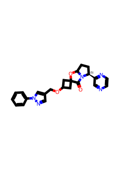 O=C1N2C(CC[C@H]2c2cnccn2)OC12CC(OCc1cnn(-c3ccccc3)c1)C2